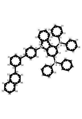 c1ccc(N(c2ccccc2)c2cc(N(c3ccccc3)c3ccccc3)c3c4ccccc4n(-c4ccc(-c5cccc(-c6ccc7ccccc7c6)c5)cc4)c3c2)cc1